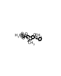 CCC1Cc2cc(OCc3ccccc3)c(OC)cc2-c2cc(=O)c(C(=O)NS(C)(=O)=O)cn21